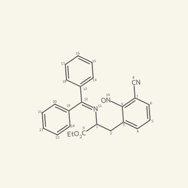 CCOC(=O)C(Cc1cccc(C#N)c1N=O)N=C(c1ccccc1)c1ccccc1